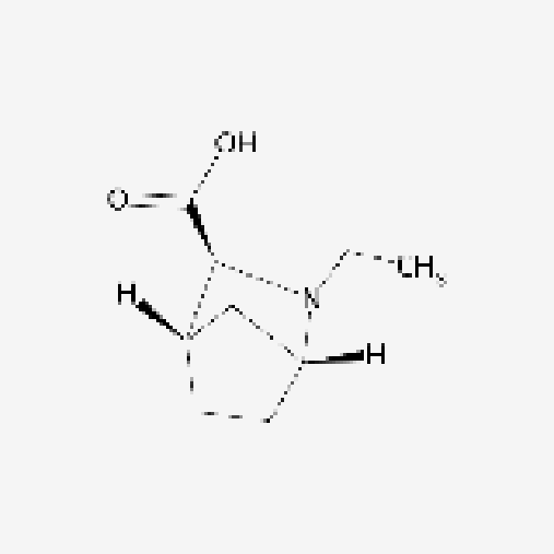 CCN1[C@@H]2CC[C@@H](C2)[C@H]1C(=O)O